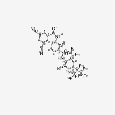 CN(C(=O)c1cc(C#N)cc(C#N)c1)c1cccc(C(=O)Nc2c(Br)cc(C(F)(C(F)(F)F)C(F)(F)F)cc2C(F)(F)F)c1F